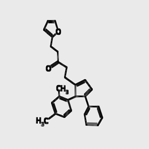 Cc1ccc(C2C(CCC(=O)CCc3ccco3)=CC=C2c2ccccc2)c(C)c1